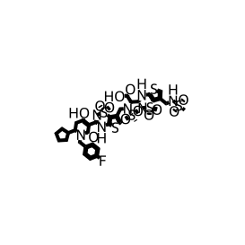 CS(=O)(=O)NCc1csc2c1S(=O)(=O)N=C(C(C(=O)O)N(Cc1csc3c1S(=O)(=O)N=C(C1=C(O)CC(C4CCCC4)N(Cc4ccc(F)cc4)C1=O)N3)S(C)(=O)=O)N2